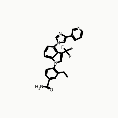 CCc1cc(C(N)=O)ccc1-n1cc(C(F)(F)F)c2c(-n3cnc(-c4cccnc4)c3)cccc21